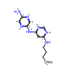 COCCCNc1cc(Nc2cnc(N)cn2)ncn1